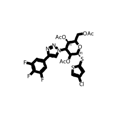 CC(=O)OCC1O[C@H](Sc2cc(Cl)cs2)C(OC(C)=O)C(n2cc(-c3cc(F)c(F)c(F)c3)nn2)[C@H]1OC(C)=O